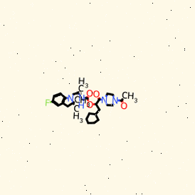 CC(=O)N1CCN(C(=O)C(CC2CCCCC2)OC(=O)N[C@@H](C)CN2c3ccc(F)cc3CC2(C)C)CC1